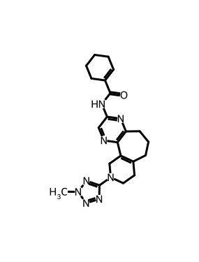 Cn1nnc(N2CCC3=C(C2)c2ncc(NC(=O)C4=CCCCC4)nc2CCC3)n1